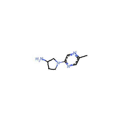 Cc1cnc(N2CCC(N)C2)cn1